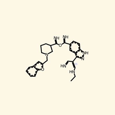 CCN/C=C(\C=N)c1n[nH]c2ccc(C(=N)OC(=N)C3CCCN(Cc4cc5ccccc5o4)C3)cc12